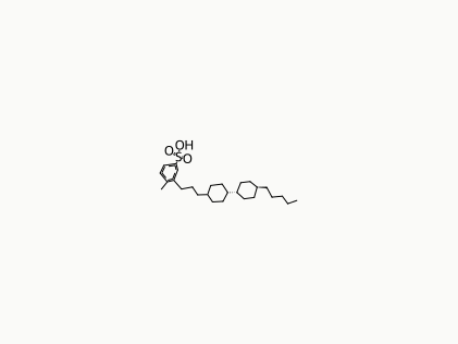 CCCCC[C@H]1CC[C@H](C2CCC(CCCc3cc(S(=O)(=O)O)ccc3C)CC2)CC1